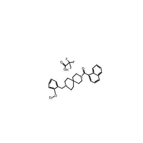 CCOc1ccccc1CN1CCC2(CC1)CCN(C(=O)c1cccc3ccccc13)CC2.O=C(O)C(F)(F)F